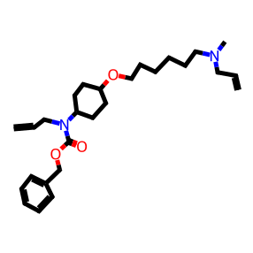 C=CCN(C)CCCCCCOC1CCC(N(CC=C)C(=O)OCc2ccccc2)CC1